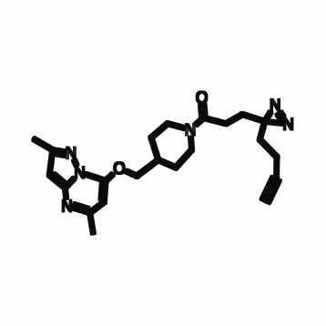 C#CCCC1(CCC(=O)N2CCC(COc3cc(C)nc4cc(C)nn34)CC2)N=N1